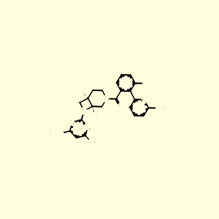 Cc1cccc(-c2c(F)cccc2C(=O)N2CC[C@H]3CN(c4nc(C)cc(C)n4)[C@H]3C2)n1